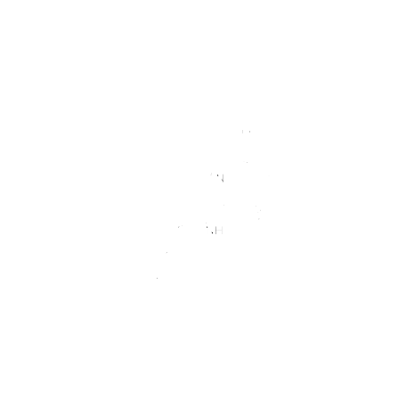 O=C(Nc1nc(=O)ss1)C1CC1